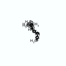 COc1ccc(-c2nccc(-c3ccc(NC(=O)O[C@@H]4O[C@@H](C)[C@H](OC)[C@@H](OC)[C@H]4OC)cc3)n2)cc1